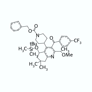 COC(C)c1nc2c(c(C3CCN(C(=O)OCc4ccccc4)CC3)c1C(=O)c1ccc(C(F)(F)F)cc1)C(O[Si](C)(C)C(C)(C)C)CC(C)(C)C2